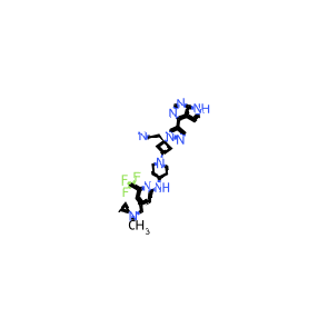 CN(Cc1cc(NC2CCN([C@H]3C[C@](CC#N)(n4cc(-c5ncnc6[nH]ccc56)cn4)C3)CC2)nc(C(F)(F)F)c1)C1CC1